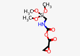 CO[Si](CNC(=O)OC(=O)C1CO1)(OC)OC